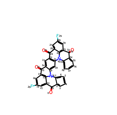 O=c1c2ccccc2n2c3cc4c(cc3c(=O)c3cc(F)cc1c32)c(=O)c1cc(F)cc2c(=O)c3ccccc3n4c21